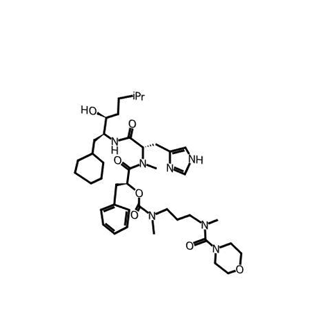 CC(C)CC[C@H](O)[C@H](CC1CCCCC1)NC(=O)[C@H](Cc1c[nH]cn1)N(C)C(=O)[C@H](Cc1ccccc1)OC(=O)N(C)CCCN(C)C(=O)N1CCOCC1